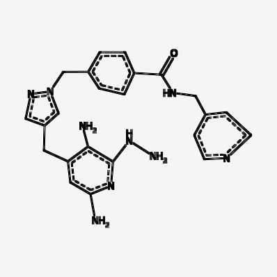 NNc1nc(N)cc(Cc2cnn(Cc3ccc(C(=O)NCc4ccncc4)cc3)c2)c1N